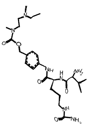 CCN(C)CCN(C)C(=O)OCc1ccc(NC(=O)[C@H](CCCNC(N)=O)NC(=O)C(N)C(C)C)cc1